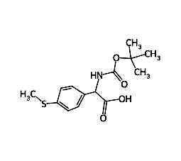 CSc1ccc(C(NC(=O)OC(C)(C)C)C(=O)O)cc1